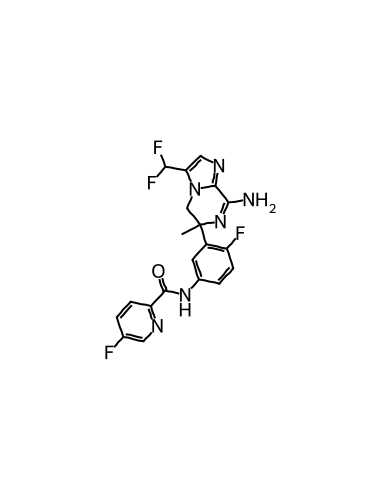 CC1(c2cc(NC(=O)c3ccc(F)cn3)ccc2F)Cn2c(C(F)F)cnc2C(N)=N1